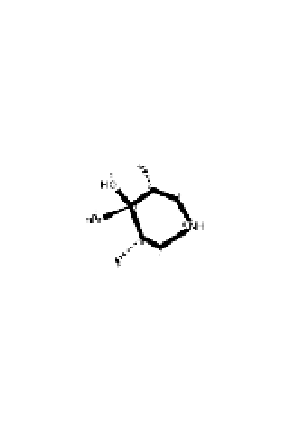 CCC[C@@]1(O)[C@H](C)CNC[C@@H]1C